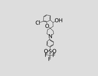 O=S(=O)(c1ccc(N2CCC3(CC2)CC(O)c2cccc(Cl)c2O3)cc1)C(F)(F)F